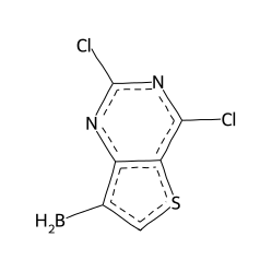 Bc1csc2c(Cl)nc(Cl)nc12